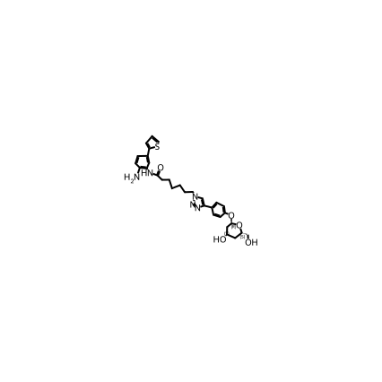 Nc1ccc(-c2cccs2)cc1NC(=O)CCCCCCn1cc(-c2ccc(O[C@@H]3C[C@@H](O)C[C@@H](CO)O3)cc2)nn1